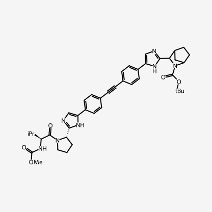 COC(=O)N[C@H](C(=O)N1CCC[C@H]1c1ncc(-c2ccc(C#Cc3ccc(-c4cnc(C5C6CCC(C6)N5C(=O)OC(C)(C)C)[nH]4)cc3)cc2)[nH]1)C(C)C